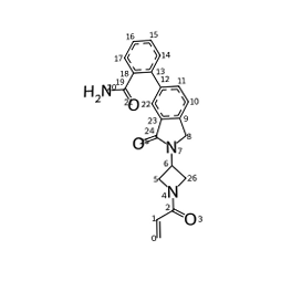 C=CC(=O)N1CC(N2Cc3ccc(-c4ccccc4C(N)=O)cc3C2=O)C1